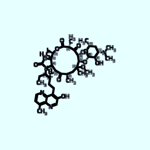 CCC(CCCc1c(O)cnc2c(C)ccnc12)N1C(=O)O[C@]2(C)[C@@H](I)OC(=O)[C@H](C)C(=O)[C@H](C)[C@@H](O[C@@H]3O[C@H](C)C[C@H](N(C)C)[C@H]3O)[C@](C)(OC)C[C@@H](C)C(=O)[C@H](C)[C@@H]12